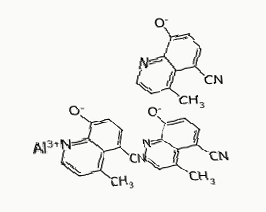 Cc1ccnc2c([O-])ccc(C#N)c12.Cc1ccnc2c([O-])ccc(C#N)c12.Cc1ccnc2c([O-])ccc(C#N)c12.[Al+3]